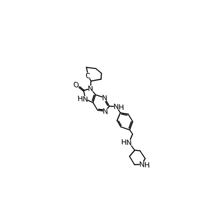 O=c1[nH]c2cnc(Nc3ccc(CNC4CCNCC4)cc3)nc2n1C1CCCCC1